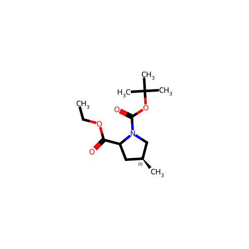 CCOC(=O)C1C[C@H](C)CN1C(=O)OC(C)(C)C